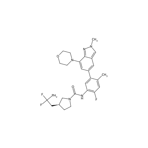 Cc1cc(F)c(NC(=O)N2CC[C@@H](CC(F)(F)P)C2)cc1-c1cc(N2CCOCC2)c2nn(C)cc2c1